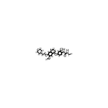 CCNC(=O)Nc1ccc(Oc2ncnc3cc(OCCN4CCOCC4)c(OC)cc23)cc1Cl